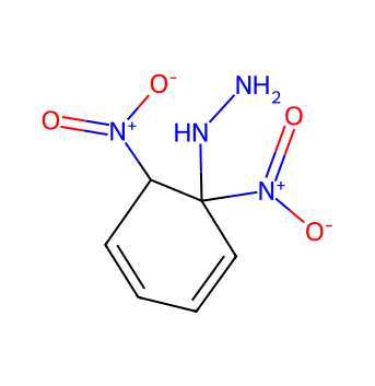 NNC1([N+](=O)[O-])C=CC=CC1[N+](=O)[O-]